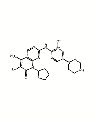 Cc1c(Br)c(=O)n(C2CCCC2)c2nc(Nc3ccc(N4CCNCC4)c[n+]3[O-])ncc12